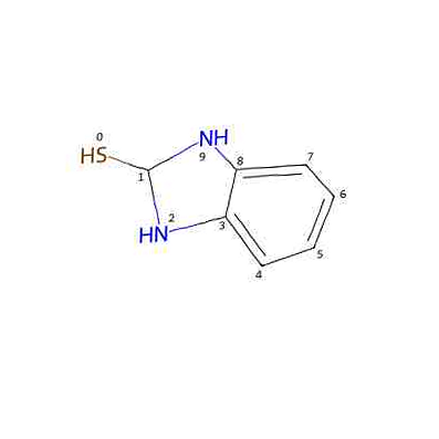 SC1Nc2ccccc2N1